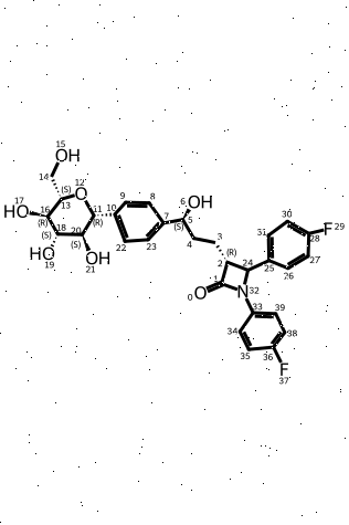 O=C1[C@H](CC[C@H](O)c2ccc([C@H]3O[C@@H](CO)[C@H](O)[C@@H](O)[C@@H]3O)cc2)C(c2ccc(F)cc2)N1c1ccc(F)cc1